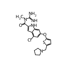 CN(C(=N)N)C(=O)c1cc2c(Cl)cc(Oc3ccc(CN4CCCC4)s3)cc2[nH]1